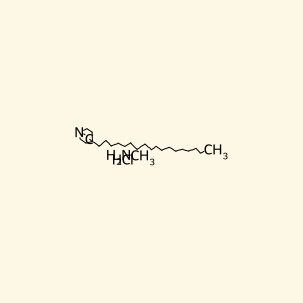 CCCCCCCCCCCCCCCCCCC12CCN(CC1)CC2.CN.Cl